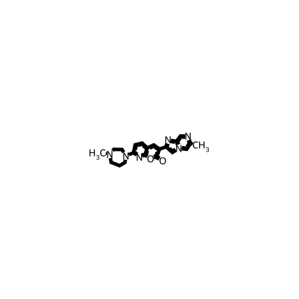 Cc1cn2cc(-c3cc4ccc(N5CCCN(C)CC5)nc4oc3=O)nc2cn1